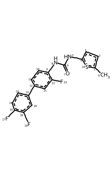 Cc1ccc(NC(=O)Nc2ccc(-c3ccc(F)c(F)c3)cc2F)s1